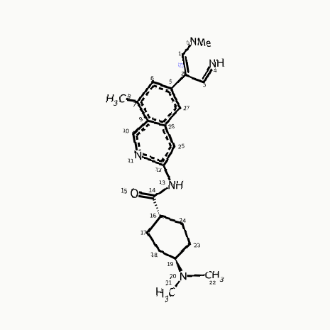 CN/C=C(\C=N)c1cc(C)c2cnc(NC(=O)[C@H]3CC[C@H](N(C)C)CC3)cc2c1